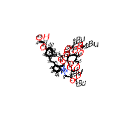 CC(C)(C)C(=O)OCCn1nc(O[C@@H]2O[C@H](COC(=O)C(C)(C)C)[C@@H](OC(=O)C(C)(C)C)[C@H](OC(=O)C(C)(C)C)[C@H]2OC(=O)C(C)(C)C)c2c(CCc3cccc(OCCO)c3)cccc21